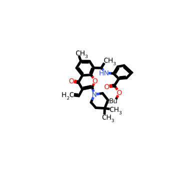 C=Cc1c(N2CCC(C)(C)CC2)oc2c(C(C)Nc3ccccc3C(=O)OC(C)(C)C)cc(C)cc2c1=O